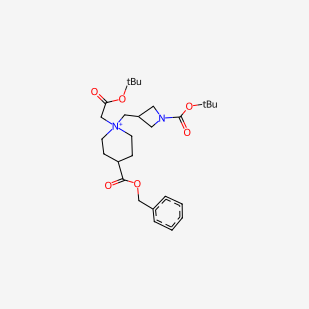 CC(C)(C)OC(=O)C[N+]1(CC2CN(C(=O)OC(C)(C)C)C2)CCC(C(=O)OCc2ccccc2)CC1